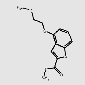 COCCOc1cccc2oc(C(=O)OC)cc12